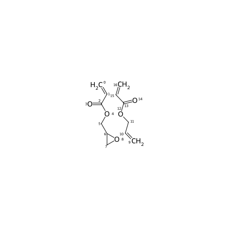 C=CC(=O)OCC1CO1.C=CCOC(=O)C=C